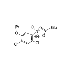 CC(C)Oc1cc([N+]2([O-])C=C(C(C)(C)C)ON2)c(Cl)cc1Cl